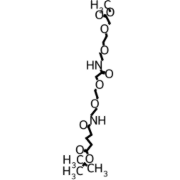 COC(=O)COCCOCCNC(=O)COCCOCCNC(=O)CCCC(=O)OC(C)(C)C